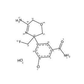 Cl.NC(=O)c1cc(Cl)cc(C2(CF)COCC(N)=N2)c1